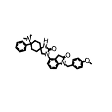 COc1ccc(CN2C(=O)Cc3c2cccc3N2CC3(CCC(c4ccccc4)(N(C)C)CC3)NC2=O)cc1